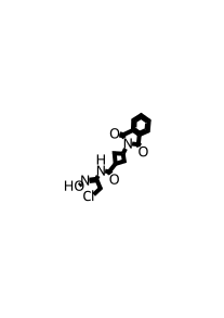 O=C(N/C(CCl)=N/O)C1CC(N2C(=O)c3ccccc3C2=O)C1